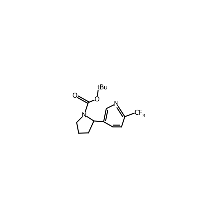 CC(C)(C)OC(=O)N1CCCC1c1ccc(C(F)(F)F)nc1